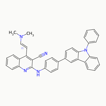 CN(C)/C=C/c1c(C#N)c(Nc2ccc(-c3ccc4c(c3)c3ccccc3n4-c3ccccc3)cc2)nc2ccccc12